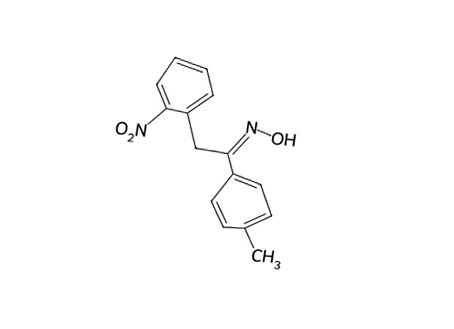 Cc1ccc(/C(Cc2ccccc2[N+](=O)[O-])=N\O)cc1